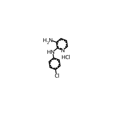 Cl.Nc1cccnc1Nc1ccc(Cl)cc1